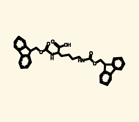 O=C(NCCCCC(NC(=O)OCC1c2ccccc2-c2ccccc21)C(=O)O)OCC1c2ccccc2-c2ccccc21